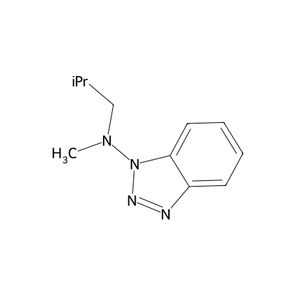 CC(C)CN(C)n1nnc2ccccc21